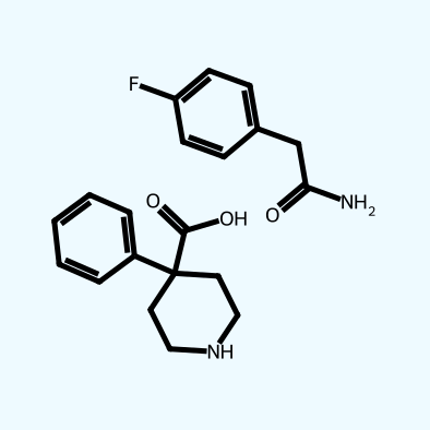 NC(=O)Cc1ccc(F)cc1.O=C(O)C1(c2ccccc2)CCNCC1